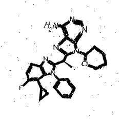 C[C@@H](c1nc2ccc(F)c(C3CC3)c2n1-c1ccccc1)c1nc2c(N)ncnc2n1C1CCCCO1